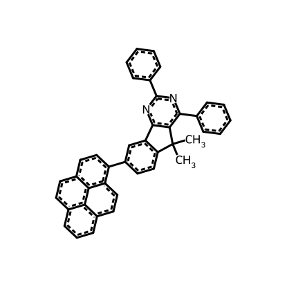 CC1(C)c2ccc(-c3ccc4ccc5cccc6ccc3c4c56)cc2-c2nc(-c3ccccc3)nc(-c3ccccc3)c21